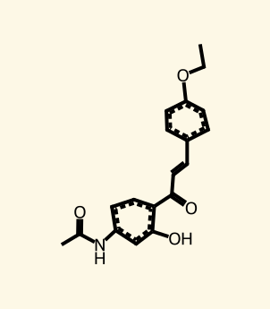 CCOc1ccc(C=CC(=O)c2ccc(NC(C)=O)cc2O)cc1